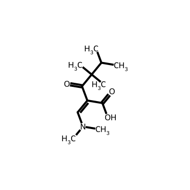 CC(C)C(C)(C)C(=O)C(=CN(C)C)C(=O)O